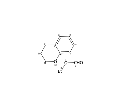 CCOC=O.c1ccc2c(c1)CCCO2